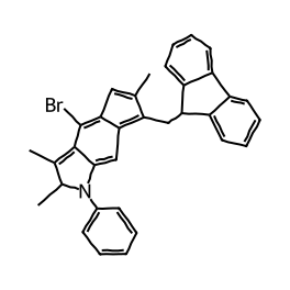 CC1=Cc2c(Br)c3c(cc2=C1CC1c2ccccc2-c2ccccc21)N(c1ccccc1)C(C)C=3C